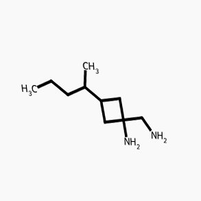 CCCC(C)C1CC(N)(CN)C1